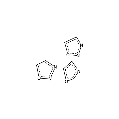 c1cocn1.c1conn1.c1conn1